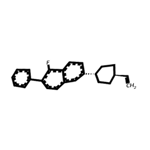 C=C[C@H]1CC[C@H](c2ccc3c(F)c(-c4ccccc4)ccc3c2)CC1